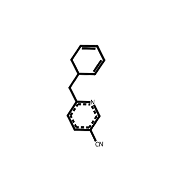 N#Cc1ccc(CC2C=CC=CC2)nc1